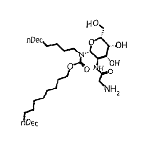 CCCCCCCCCCCCCCCCCCOC(=O)N(CCCCCCCCCCCCCC)[C@@H]1O[C@H](CO)[C@H](O)[C@H](O)[C@H]1NC(=O)CN